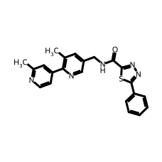 Cc1cc(-c2ncc(CNC(=O)c3nnc(-c4ccccc4)s3)cc2C)ccn1